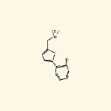 CCc1ccncc1-c1ccc(CNC(=O)O)s1